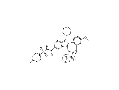 COc1ccc2c(c1)C1CC1(C(=O)N1C3CC1CN(C)C3)Cn1c-2c(C2CCCCC2)c2ccc(C(=O)NS(=O)(=O)N3CCN(C)CC3)cc21